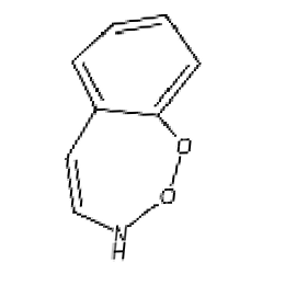 c1ccc2oo[nH]ccc2c1